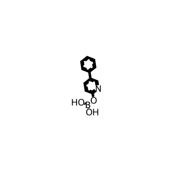 OB(O)Oc1ccc(-c2ccccc2)cn1